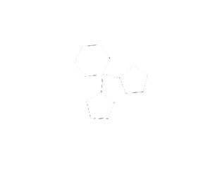 C1CC[Si](C2CCCC2)(C2CCCC2)CC1